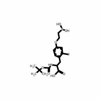 CC(C)(C)OC(=O)NC(Cc1ccc(OCCB(O)O)cc1F)C(=O)O